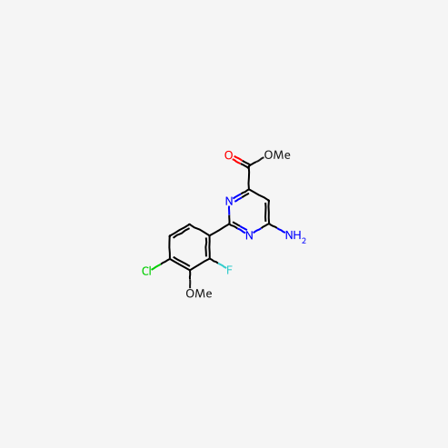 COC(=O)c1cc(N)nc(-c2ccc(Cl)c(OC)c2F)n1